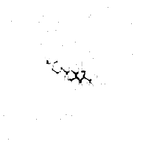 O=CN1CCN(c2ncc3c(=O)c(C(=O)O)c[nH]c3n2)CC1